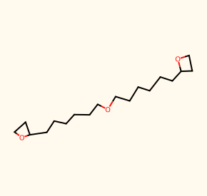 C(CCCC1CCO1)CCOCCCCCCC1CCO1